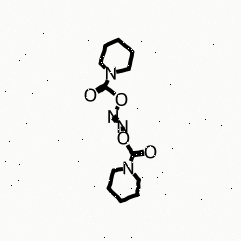 O=C(ON=NOC(=O)N1CCCCC1)N1CCCCC1